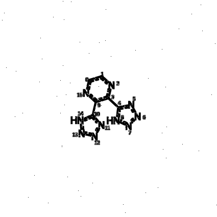 c1cnc(-c2nnn[nH]2)c(-c2nnn[nH]2)n1